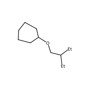 CCC(CC)COC1CCCCC1